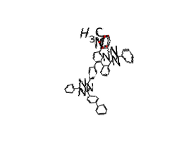 Cc1cccc(-c2ccc(-c3ccc(-c4nc(-c5ccccc5)nc(-c5ccc(-c6ccccc6)cc5)n4)cc3)c(-c3ccccc3-c3nc(-c4ccccc4)nc(-c4ccccc4)n3)c2)n1